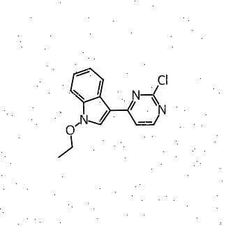 CCOn1cc(-c2ccnc(Cl)n2)c2ccccc21